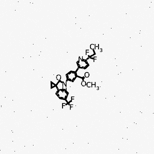 CCC(F)(F)c1ccc(-c2ccc(NC(=O)C3(c4ccc(C(F)(F)F)cc4)CC3)cc2C(=O)OC)cn1